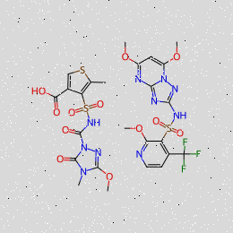 COc1cc(OC)n2nc(NS(=O)(=O)c3c(C(F)(F)F)ccnc3OC)nc2n1.COc1nn(C(=O)NS(=O)(=O)c2c(C(=O)O)csc2C)c(=O)n1C